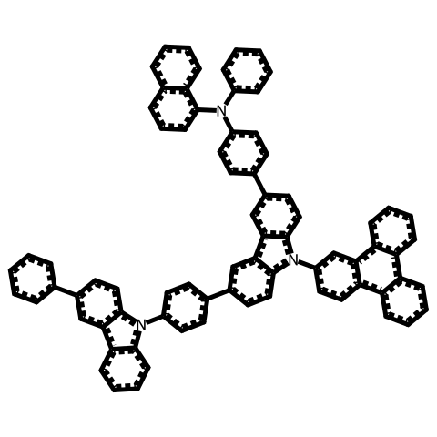 c1ccc(-c2ccc3c(c2)c2ccccc2n3-c2ccc(-c3ccc4c(c3)c3cc(-c5ccc(N(c6ccccc6)c6cccc7ccccc67)cc5)ccc3n4-c3ccc4c5ccccc5c5ccccc5c4c3)cc2)cc1